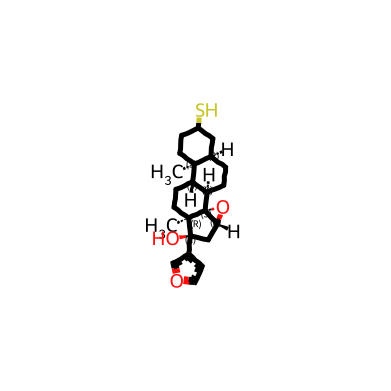 C[C@]12CCC(S)C[C@H]1CC[C@@H]1[C@@H]2CC[C@@]2(C)[C@@]13O[C@@H]3C[C@]2(O)c1ccoc1